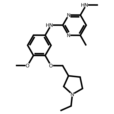 CCN1CCC(COc2cc(Nc3nc(C)cc(NC)n3)ccc2OC)C1